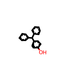 Oc1c#cc(C(c2ccccc2)c2ccccc2)cc1